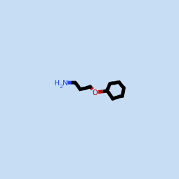 NCCCOC1CCCCC1